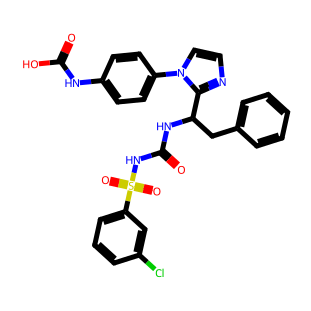 O=C(O)Nc1ccc(-n2ccnc2C(Cc2ccccc2)NC(=O)NS(=O)(=O)c2cccc(Cl)c2)cc1